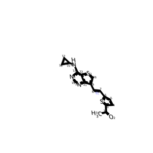 CC(=O)c1ccc(/C=C/c2csc3c(NC4CC4)ncnc23)s1